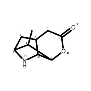 CC1C2CC3CC(=O)OC1C3N2